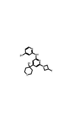 CC(C)c1ccnc(Nc2cc(C3(C(C)C)CCOCC3)cc(N3CC(F)C3)n2)c1